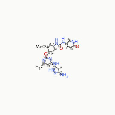 COc1cc(NC(=O)Nc2ccc(=O)[nH]c2)ccc1Oc1nc(C)cc(Nc2cc(N)n[nH]2)n1